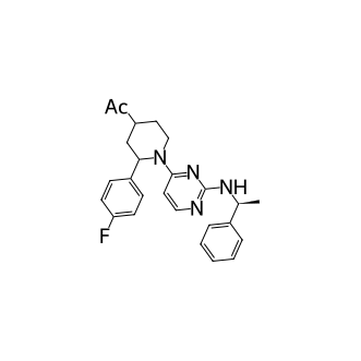 CC(=O)C1CCN(c2ccnc(N[C@@H](C)c3ccccc3)n2)C(c2ccc(F)cc2)C1